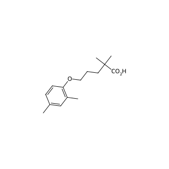 Cc1ccc(OCCCC(C)(C)C(=O)O)c(C)c1